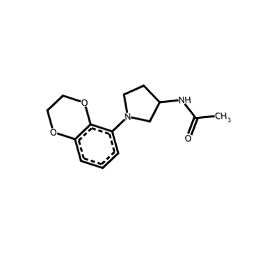 CC(=O)NC1CCN(c2cccc3c2OCCO3)C1